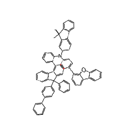 CC1(C)c2ccccc2-c2ccc(N(c3ccc(-c4cccc5c4oc4ccccc45)cc3)c3ccccc3-c3cccc4c3-c3ccccc3C4(c3ccccc3)c3ccc(-c4ccccc4)cc3)cc21